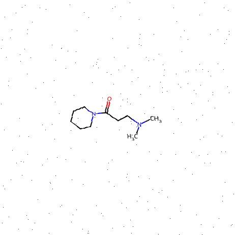 CN(C)CCC(=O)N1CCCCC1